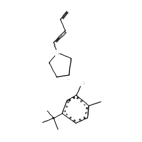 Cc1ccc(C(F)(F)F)cc1N[C@@H]1CCN(C=CC=O)C1